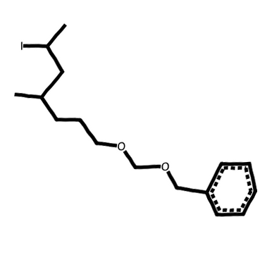 CC(I)CC(C)CCCOCOCc1ccccc1